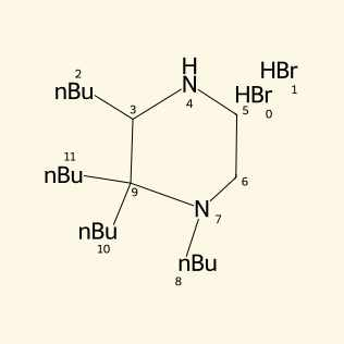 Br.Br.CCCCC1NCCN(CCCC)C1(CCCC)CCCC